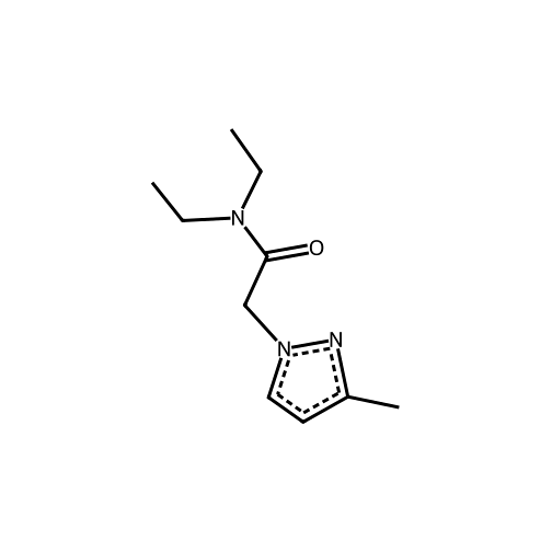 CCN(CC)C(=O)Cn1ccc(C)n1